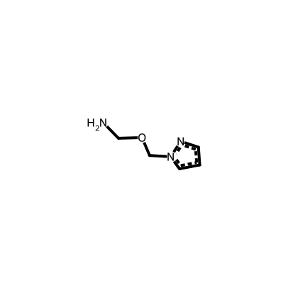 NCOCn1cccn1